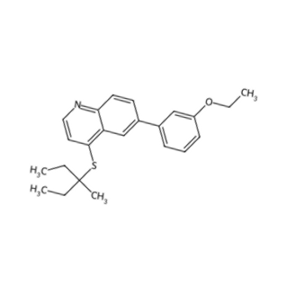 CCOc1cccc(-c2ccc3nccc(SC(C)(CC)CC)c3c2)c1